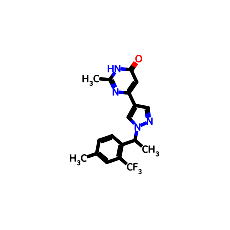 Cc1ccc(C(C)n2cc(-c3cc(=O)[nH]c(C)n3)cn2)c(C(F)(F)F)c1